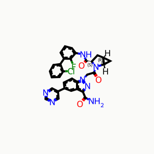 NC(=O)c1nn(CC(=O)N2[C@H](C(=O)Nc3cccc(-c4ccccc4Cl)c3F)C[C@H]3C[C@@H]32)c2ccc(-c3cncnc3)cc12